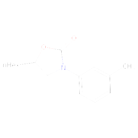 CCCCCCC1CN(c2cccc(C)c2)C(=O)O1